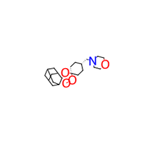 C1CN(C[C@H]2CC[C@]3(CC2)OO[C@]2(O3)C3CC4CC(C3)CC2C4)CCO1